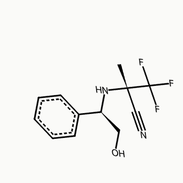 C[C@@](C#N)(N[C@@H](CO)c1ccccc1)C(F)(F)F